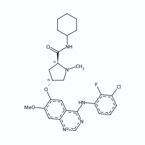 COc1cc2ncnc(Nc3cccc(Cl)c3F)c2cc1O[C@@H]1C[C@@H](C(=O)NC2CCCCC2)N(C)C1